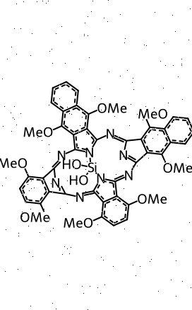 COc1ccc(OC)c2c1C1=NC/2=N\c2c3c(OC)c4ccccc4c(OC)c3c3n2[Si](O)(O)n2/c(c4c(OC)ccc(OC)c4/c2=N/C2=NC(=N\3)/c3c2c(OC)c2ccccc2c3OC)=N\1